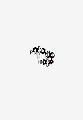 Fc1ccc(F)c(Nc2cc(-c3nc(N4CCOC5CNCC54)c4c(C5CCC5)cncc4n3)ccn2)n1